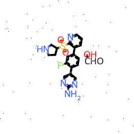 Nc1ncc(-c2ccc(-c3cccnc3S(=O)(=O)C3CCNC3)cc2F)cn1.O=CO